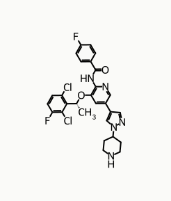 C[C@@H](Oc1cc(-c2cnn(C3CCNCC3)c2)cnc1NC(=O)c1ccc(F)cc1)c1c(Cl)ccc(F)c1Cl